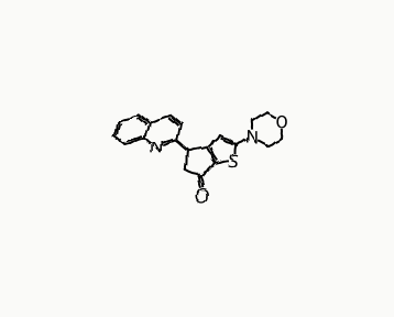 O=C1CC(c2ccc3ccccc3n2)c2cc(N3CCOCC3)sc21